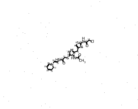 CC(=O)Nn1c(Cc2csc(NC(=O)CCl)n2)nnc1SCC(=O)NC=CN1C=CC=CC1